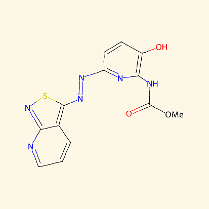 COC(=O)Nc1nc(/N=N/c2snc3ncccc23)ccc1O